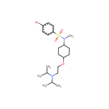 CC(C)N(CCOC1CCC(N(C)S(=O)(=O)c2ccc(Br)cc2)CC1)C(C)C